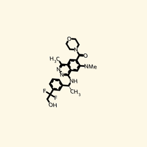 CNc1cc2c(N[C@H](C)c3cccc(C(F)(F)CO)c3)nnc(C)c2cc1C(=O)N1CCOCC1